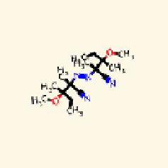 CCC(C)(OC)C(C)(C#N)N=NC(C)(C#N)C(C)(CC)OC